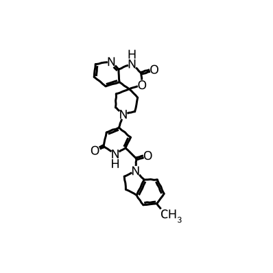 Cc1ccc2c(c1)CCN2C(=O)c1cc(N2CCC3(CC2)OC(=O)Nc2ncccc23)cc(=O)[nH]1